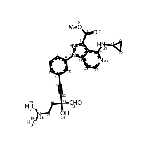 COC(=O)c1nn(-c2cccc(C#C[C@@](O)(C=O)CCN(C)C)c2)c2ccnc(NC3CC3)c12